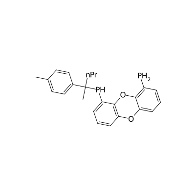 CCCC(C)(Pc1cccc2c1Oc1c(P)cccc1O2)c1ccc(C)cc1